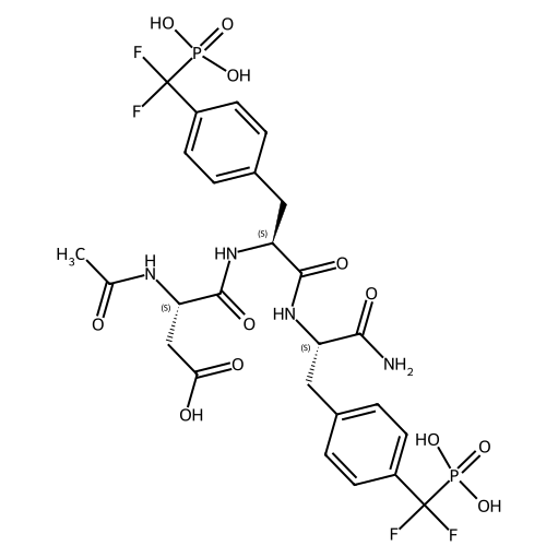 CC(=O)N[C@@H](CC(=O)O)C(=O)N[C@@H](Cc1ccc(C(F)(F)P(=O)(O)O)cc1)C(=O)N[C@@H](Cc1ccc(C(F)(F)P(=O)(O)O)cc1)C(N)=O